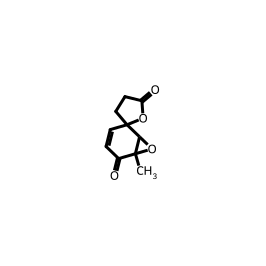 CC12OC1C1(C=CC2=O)CCC(=O)O1